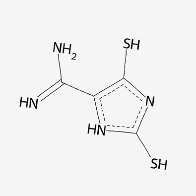 N=C(N)c1[nH]c(S)nc1S